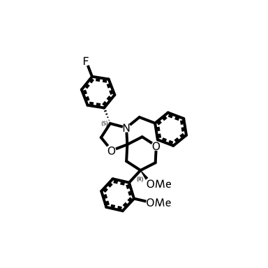 COc1ccccc1[C@@]1(OC)COCC2(C1)OC[C@H](c1ccc(F)cc1)N2Cc1ccccc1